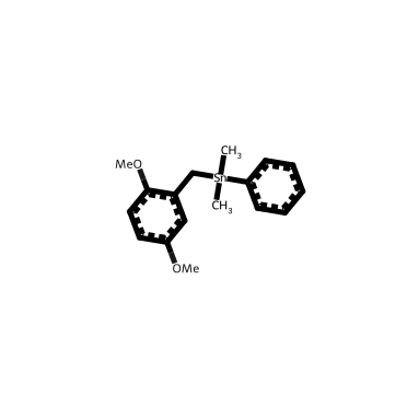 COc1ccc(OC)c([CH2][Sn]([CH3])([CH3])[c]2ccccc2)c1